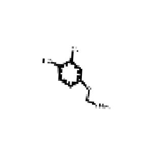 CCCCCCCOc1ccc(O)c(C#N)c1